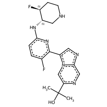 CC(C)(O)c1cn2c(-c3nc(N[C@H]4CNCC[C@@H]4F)ccc3F)cnc2cn1